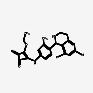 CCOc1c(Nc2ccc(C3NCCc4cc(Cl)cc(Cl)c43)c(C)c2)c(=O)c1=O